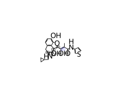 C/C(C(=O)Nc1ccsc1)=C(/O)[C@@H]1Oc2c(O)ccc3c2[C@@]12CCN(CC1CC1)[C@H](C3)[C@@]2(C)O